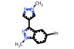 CC(C)c1ccc2c(c1)c(-c1cnn(C)c1)nn2C